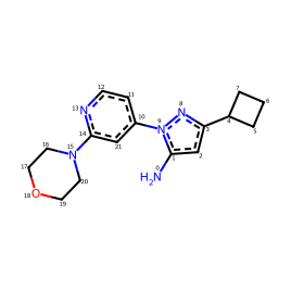 Nc1cc(C2CCC2)nn1-c1ccnc(N2CCOCC2)c1